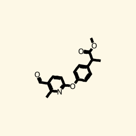 COC(=O)C(C)c1ccc(Oc2ccc(C=O)c(C)n2)cc1